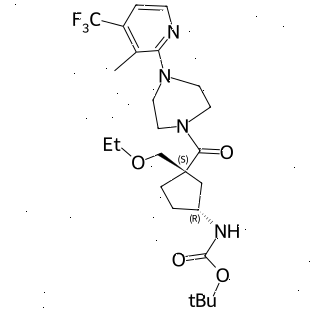 CCOC[C@]1(C(=O)N2CCN(c3nccc(C(F)(F)F)c3C)CC2)CC[C@@H](NC(=O)OC(C)(C)C)C1